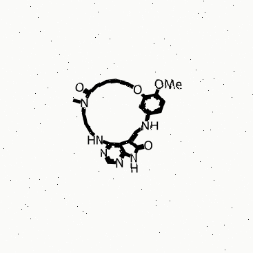 COc1ccc2cc1OCCCCC(=O)N(C)CCCNc1ncnc3c1/C(=C/N2)C(=O)N3